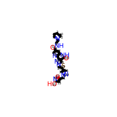 CC1(C)CCCN1CCNC(=O)c1cnc2c(c1)[nH]c(=O)c1c2nn2cc(-c3cnn(Cc4cc(O)no4)c3)sc12